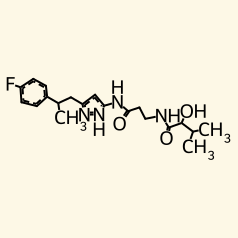 CC(Cc1cc(NC(=O)CCNC(=O)C(O)C(C)C)[nH]n1)c1ccc(F)cc1